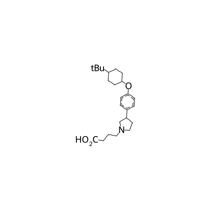 CC(C)(C)C1CCC(Oc2ccc(C3CCN(CCCC(=O)O)C3)cc2)CC1